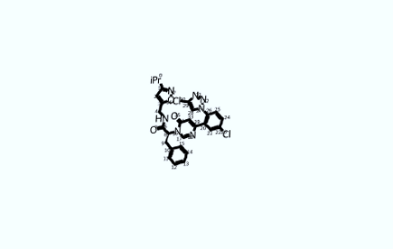 CC(C)c1cc(CNC(=O)[C@H](Cc2ccccc2)n2cnc(-c3cc(Cl)ccc3-n3cc(Cl)nn3)cc2=O)on1